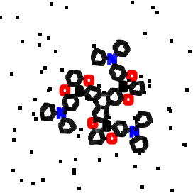 c1ccc(N(c2ccccc2)c2ccc3c(c2)Oc2cccc4c2B3c2cc3c(cc2O4)c2cc4c(cc2c2cc5c(cc32)Oc2cccc3c2B5c2ccc(N(c5ccccc5)c5ccccc5)cc2O3)Oc2cccc3c2B4c2ccc(N(c4ccccc4)c4ccccc4)cc2O3)cc1